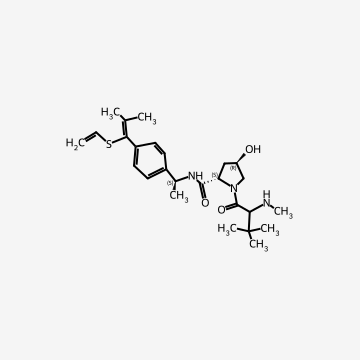 C=CSC(=C(C)C)c1ccc([C@H](C)NC(=O)[C@@H]2C[C@@H](O)CN2C(=O)C(NC)C(C)(C)C)cc1